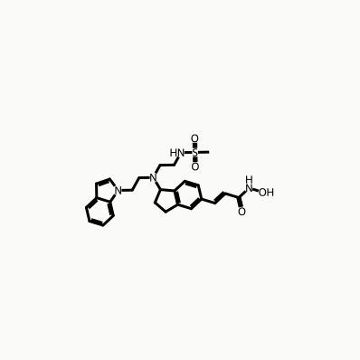 CS(=O)(=O)NCCN(CCn1ccc2ccccc21)C1CCc2cc(/C=C/C(=O)NO)ccc21